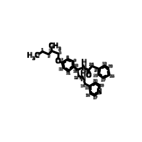 CCCC(C)COc1ccc([C@H](CNCc2ccncc2)NC(=O)Cc2ccccc2)cc1